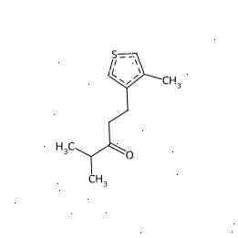 Cc1cscc1CCC(=O)C(C)C